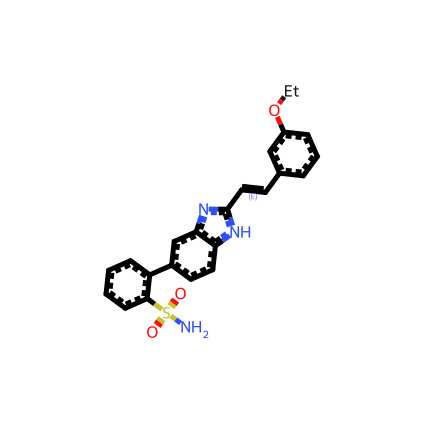 CCOc1cccc(/C=C/c2nc3cc(-c4ccccc4S(N)(=O)=O)ccc3[nH]2)c1